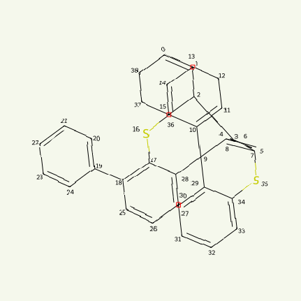 C1=CC(C2CCCC3=C2C2(C4=CCCC=C4Sc4c(-c5ccccc5)cccc42)c2ccccc2S3)CCC1